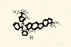 CC(C)(C)C1=CC[C]([Zr+2]([C]2=Cc3cc4c(cc3C2(C)C)Cc2cc3c(cc2-4)C=CC3(C)C)=[C](c2ccccc2)c2ccccc2)=C1.[Cl-].[Cl-]